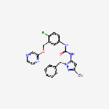 CC(C)(C)c1cc(NC(=O)Nc2ccc(F)c(COc3cnccn3)c2)n(Cc2ccccc2)n1